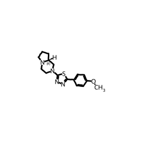 COc1ccc(-c2nnc(N3CCN4CCC[C@@H]4C3)s2)cc1